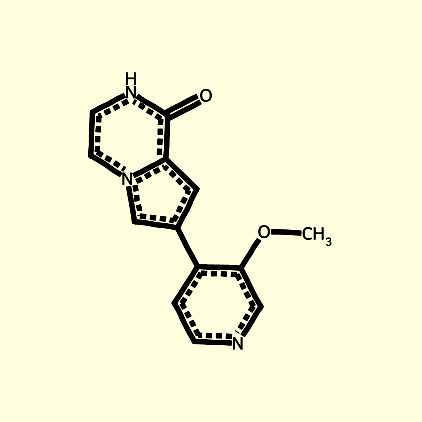 COc1cnccc1-c1cc2c(=O)[nH]ccn2c1